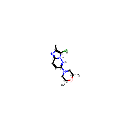 Cc1nc2ccc(N3C[C@@H](C)O[C@@H](C)C3)nn2c1Br